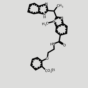 CCOC(=O)c1ccccc1OCCNC(=O)c1ccc2nc(C(C)c3nc4ccccc4[nH]3)n(C)c2c1